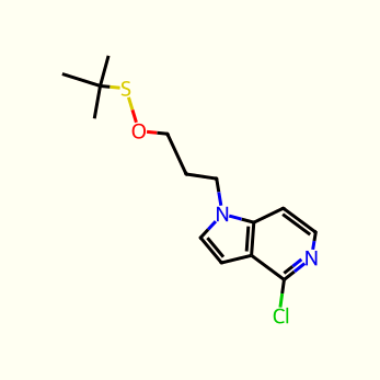 CC(C)(C)SOCCCn1ccc2c(Cl)nccc21